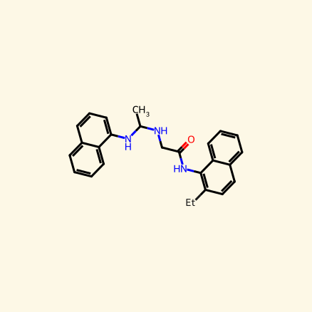 CCc1ccc2ccccc2c1NC(=O)CNC(C)Nc1cccc2ccccc12